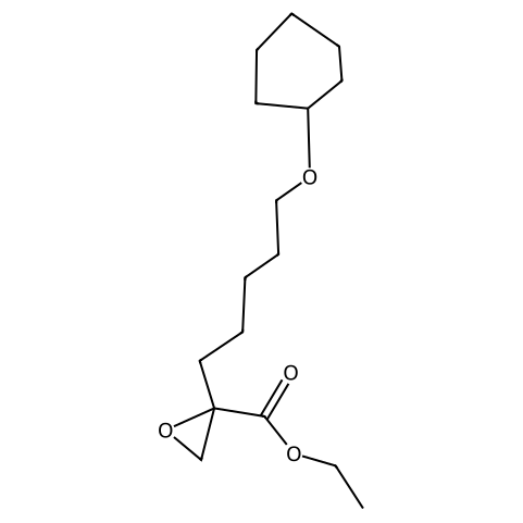 CCOC(=O)C1(CCCCCOC2CCCCC2)CO1